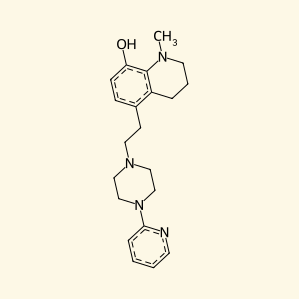 CN1CCCc2c(CCN3CCN(c4ccccn4)CC3)ccc(O)c21